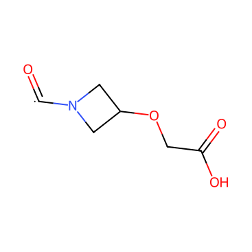 O=[C]N1CC(OCC(=O)O)C1